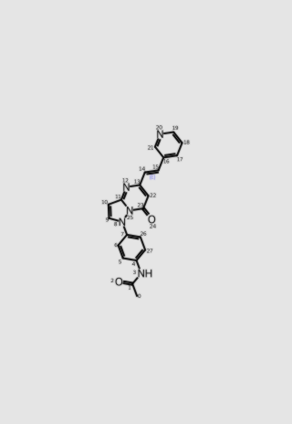 CC(=O)Nc1ccc(-n2ccc3nc(/C=C/c4cccnc4)cc(=O)n32)cc1